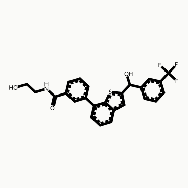 O=C(NCCO)c1cccc(-c2cccc3cc(C(O)c4cccc(C(F)(F)F)c4)sc23)c1